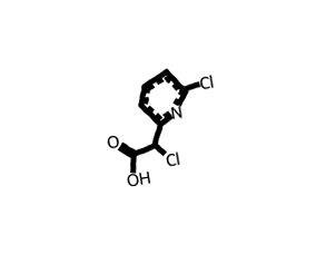 O=C(O)C(Cl)c1cccc(Cl)n1